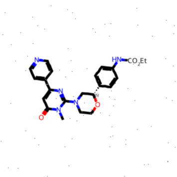 CCOC(=O)Nc1ccc([C@H]2CN(c3nc(-c4ccncc4)cc(=O)n3C)CCO2)cc1